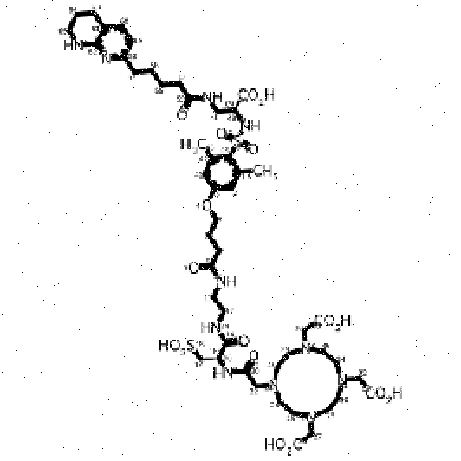 Cc1cc(OCCCC(=O)NCCNC(=O)[C@H](CS(=O)(=O)O)NC(=O)CN2CCN(CC(=O)O)CCN(CC(=O)O)CCN(CC(=O)O)CC2)cc(C)c1S(=O)(=O)N[C@@H](CNC(=O)CCCCc1ccc2c(n1)NCCC2)C(=O)O